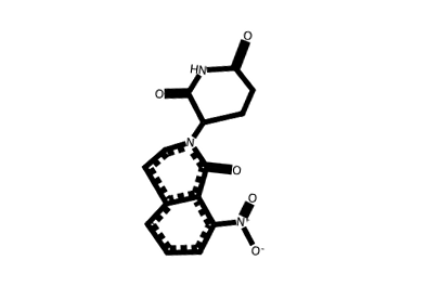 O=C1CCC(n2ccc3cccc([N+](=O)[O-])c3c2=O)C(=O)N1